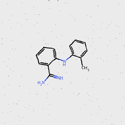 Cc1ccccc1Nc1ccccc1C(=N)N